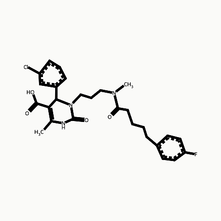 CC1=C(C(=O)O)C(c2cccc(Cl)c2)N(CCCN(C)C(=O)CCCCc2ccc(F)cc2)C(=O)N1